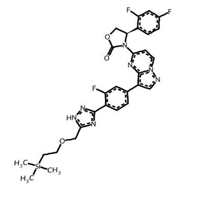 C[Si](C)(C)CCOCc1nc(-c2ccc(-c3cnn4ccc(N5C(=O)OC[C@H]5c5ccc(F)cc5F)nc34)cc2F)n[nH]1